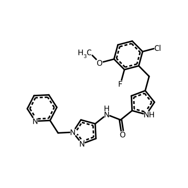 COc1ccc(Cl)c(Cc2c[nH]c(C(=O)Nc3cnn(Cc4ccccn4)c3)c2)c1F